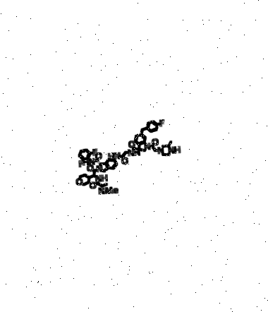 CN[C@@H](C)C(=O)NC(C(=O)N1Cc2ccc(NC(=O)CNC(=O)C3(C)CN(C(=O)CN4CCN[C@H](C)C4)c4cc(Cc5ccc(F)cc5)ccc43)cc2[C@H]1C(=O)Nc1c(F)cccc1F)C1CCOCC1